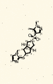 Cc1c(S(=O)(=O)N2C[C@H]3CC(Sc4nccn4C)C[C@H]3C2)cnn1C